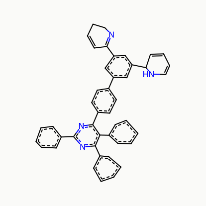 C1=CNC(c2cc(C3=NCCC=C3)cc(-c3ccc(-c4nc(-c5ccccc5)nc(-c5ccccc5)c4-c4ccccc4)cc3)c2)C=C1